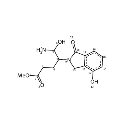 COC(=O)CCC(C(N)O)N1Cc2c(O)cccc2C1=O